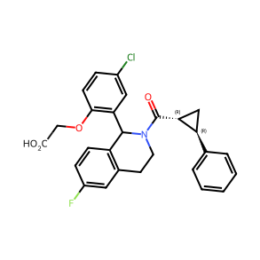 O=C(O)COc1ccc(Cl)cc1C1c2ccc(F)cc2CCN1C(=O)[C@@H]1C[C@H]1c1ccccc1